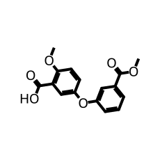 COC(=O)c1cccc(Oc2ccc(OC)c(C(=O)O)c2)c1